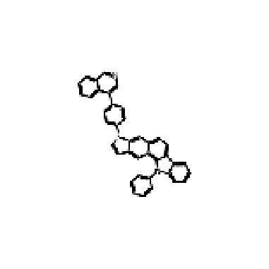 c1ccc(-n2c3ccccc3c3ccc4cc5c(ccn5-c5ccc(-c6cncc7ccccc67)cc5)cc4c32)cc1